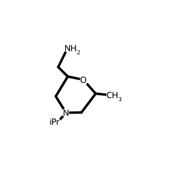 CC1CN(C(C)C)CC(CN)O1